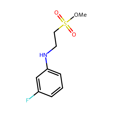 COS(=O)(=O)CCNc1cccc(F)c1